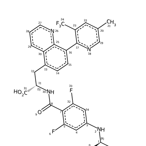 CC[C@@H](Nc1cc(F)c(C(=O)N[C@@H](Cc2ccc(-c3ncc(C)cc3C(F)(F)F)c3ncccc23)C(=O)O)c(F)c1)C(F)(F)F